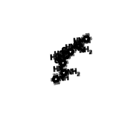 Nc1cc(Nc2ccccc2)cc(Nc2ccc(C=Cc3ccc(Nc4nc(N)nc(Nc5ccccc5)n4)cc3S(=O)(=O)O)c(S(=O)(=O)O)c2)c1